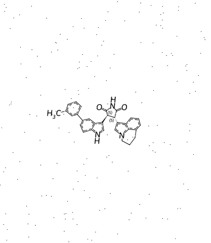 Cc1cccc(-c2ccc3[nH]cc([C@H]4C(=O)NC(=O)[C@@H]4c4cn5c6c(cccc46)CCC5)c3c2)c1